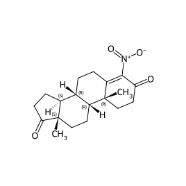 C[C@]12CCC(=O)C([N+](=O)[O-])=C1CC[C@@H]1[C@H]2CC[C@]2(C)C(=O)CC[C@@H]12